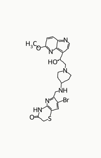 COc1ccc2nccc([C@H](O)CN3CCC(NCc4nc5c(cc4Br)SCC(=O)N5)CC3)c2n1